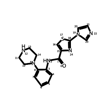 O=C(Nc1ccccc1N1CCNCC1)c1csc(-n2ccnc2)n1